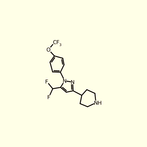 FC(F)c1cc(C2CCNCC2)nn1-c1ccc(OC(F)(F)F)cc1